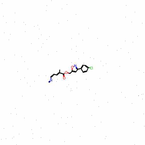 C=N/C=C\C=C(/C)C(=O)OCc1cc(-c2ccc(Cl)cc2)no1